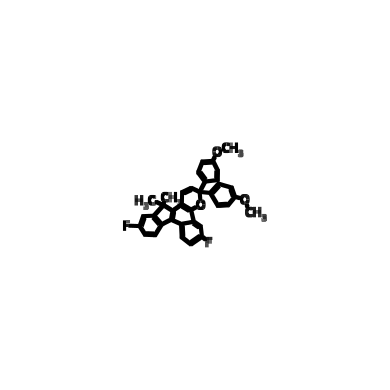 COc1ccc(C2(c3ccc(OC)cc3)C=Cc3c4c(c5ccc(F)cc5c3O2)-c2ccc(F)cc2C4(C)C)cc1